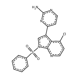 Nc1nccc(-c2cn(S(=O)(=O)c3ccccc3)c3nccc(Cl)c23)n1